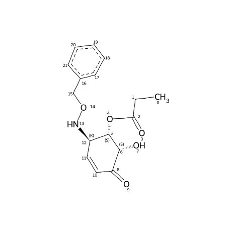 CCC(=O)O[C@@H]1[C@H](O)C(=O)C=C[C@H]1NOCc1ccccc1